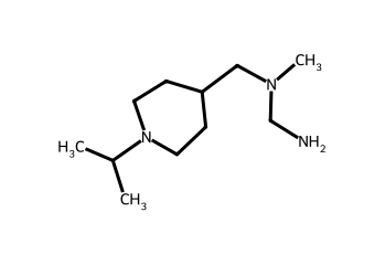 CC(C)N1CCC(CN(C)CN)CC1